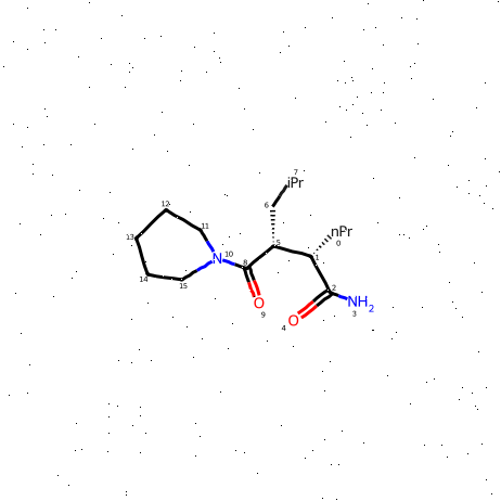 CCC[C@H](C(N)=O)[C@@H](CC(C)C)C(=O)N1CCCCC1